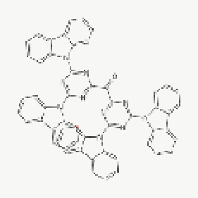 O=C(c1nc(-n2c3ccccc3c3ccccc32)nc(-n2c3ccccc3c3ccccc32)n1)c1nc(-n2c3ccccc3c3ccccc32)nc(-n2c3ccccc3c3ccccc32)n1